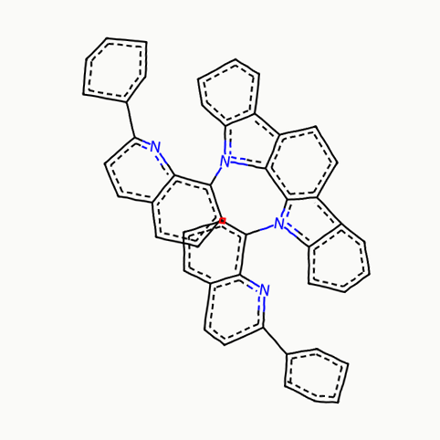 c1ccc(-c2ccc3cccc(-n4c5ccccc5c5ccc6c7ccccc7n(-c7cccc8ccc(-c9ccccc9)nc78)c6c54)c3n2)cc1